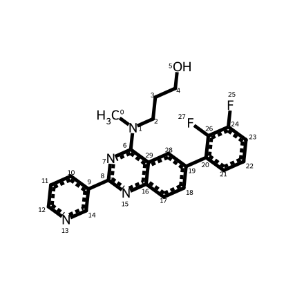 CN(CCCO)c1nc(-c2cccnc2)nc2ccc(-c3cccc(F)c3F)cc12